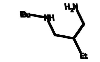 CCC(CN)CNC(C)CC